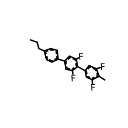 CCCc1ccc(-c2cc(F)c(-c3cc(F)c(C)c(F)c3)c(F)c2)cc1